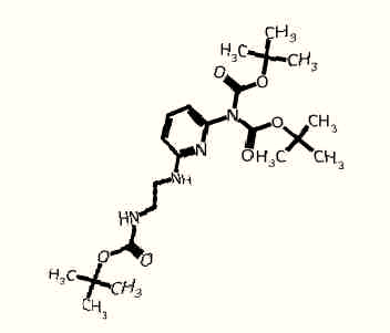 CC(C)(C)OC(=O)NCCNc1cccc(N(C(=O)OC(C)(C)C)C(=O)OC(C)(C)C)n1